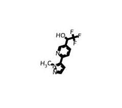 Cn1nccc1-c1ccc(C(O)C(F)(F)F)cn1